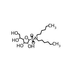 CCCCCCN(CCCCCC)S(=O)(=O)[C@@H]1O[C@@H]([C@@H](O)CO)[C@H](O)[C@H]1O